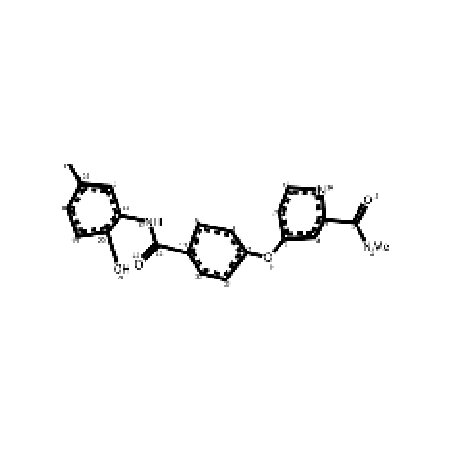 CNC(=O)c1cc(Oc2ccc(C(=O)Nc3cc(C)ccc3O)cc2)ccn1